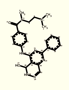 CN(C)CCN(C)C(=O)c1ccc(Nc2nc(-c3ccccc3)nc3c2C(O)NN=C3)cc1